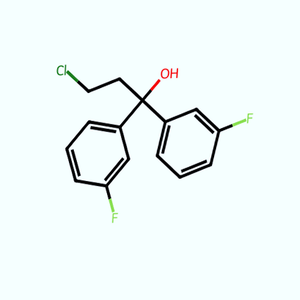 OC(CCCl)(c1cccc(F)c1)c1cccc(F)c1